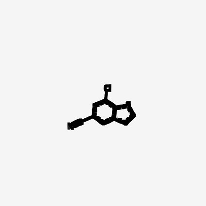 N#Cc1cc(Cl)c2sccc2c1